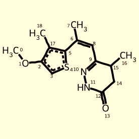 COc1csc(C(C)=CC2=NNC(=O)CC2C)c1C